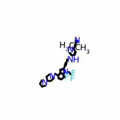 CC(C)(C#N)c1ccc(NCC#Cc2cc3c(CN4CCC(N5CCCC5)CC4)cccc3n2CC(F)(F)F)cn1